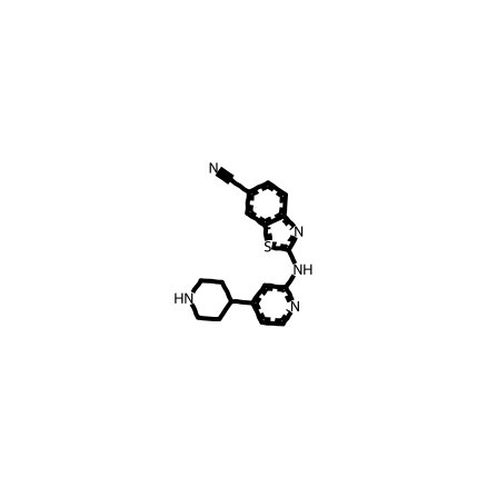 N#Cc1ccc2nc(Nc3cc(C4CCNCC4)ccn3)sc2c1